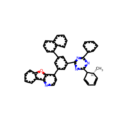 C[C@@H]1C=CC=CC1c1nc(-c2ccccc2)nc(-c2cc(-c3cccc4ccccc34)cc(-c3ccnc4c3oc3ccccc34)c2)n1